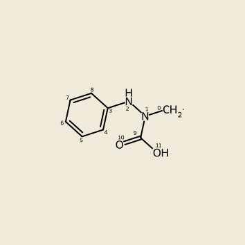 [CH2]N(Nc1ccccc1)C(=O)O